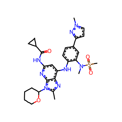 Cc1nc2c(Nc3ccc(-c4ccn(C)n4)cc3N(C)S(C)(=O)=O)cc(NC(=O)C3CC3)nc2n1C1CCCCO1